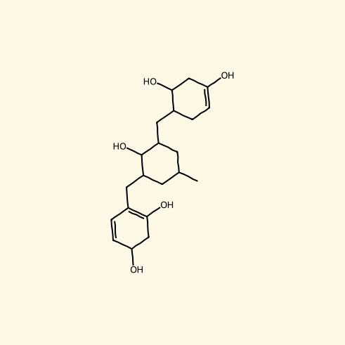 CC1CC(CC2=C(O)CC(O)C=C2)C(O)C(CC2CC=C(O)CC2O)C1